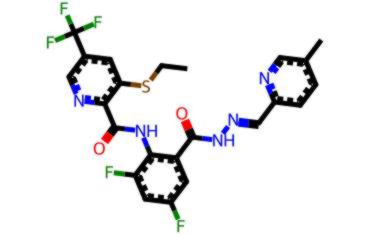 CCSc1cc(C(F)(F)F)cnc1C(=O)Nc1c(F)cc(F)cc1C(=O)NN=Cc1ccc(C)cn1